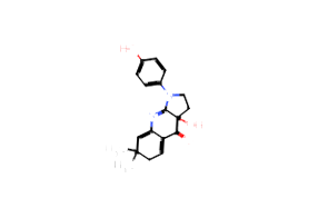 CC1(C)C=C2N=C3N(c4ccc(O)cc4)CCC3(O)C(=O)C2=CC1